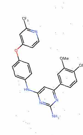 COc1ccc(-c2cc(Nc3ccc(Oc4ccnc(C(F)(F)F)c4)cc3)nc(N)n2)cc1OC